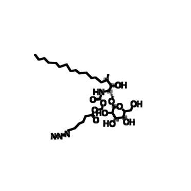 CCCCCCCCCCCCCC[C@@H](C)[C@@H](O)[C@H](CO[C@H]1OC(CO)[C@H](O)[C@H](O)C1O)NC(=O)OCOC(=O)CCCCCN=[N+]=[N-]